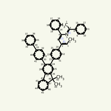 C\C=C(/C=C(\N=C(/C)c1ccccc1)c1ccccc1)c1ccc(-c2cc3c(cc2-c2ccc(-c4ccccc4)cc2)-c2ccccc2C3(C)C)cc1